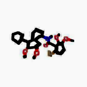 COc1ccc(Br)c(C(=O)N(C)c2cccc3c(C4=CCCCC4)c(OC)c(OC)cc23)c1OC